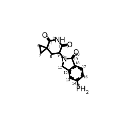 O=C1NC(=O)C2(CC2)CC1N1Cc2cc(P)ccc2C1=O